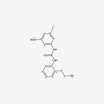 COc1cc(F)cc(NC(=O)Nc2ccccc2CCO)c1